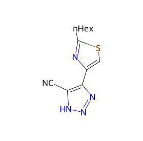 CCCCCCc1nc(-c2nn[nH]c2C#N)cs1